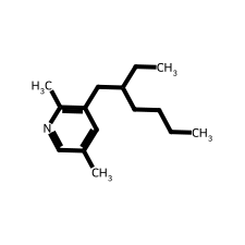 CCCCC(CC)Cc1cc(C)cnc1C